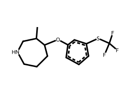 CC1CNCCCC1Oc1cccc(SC(F)(F)F)c1